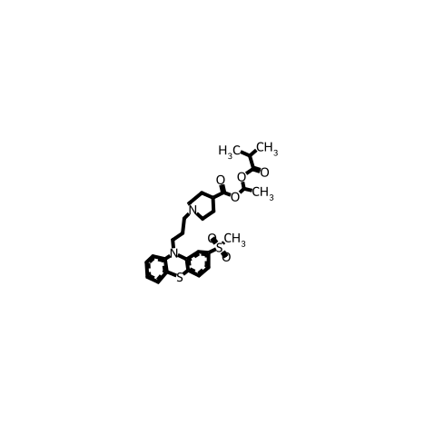 CC(OC(=O)C(C)C)OC(=O)C1CCN(CCCN2c3ccccc3Sc3ccc(S(C)(=O)=O)cc32)CC1